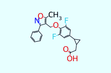 Cc1onc(-c2ccccc2)c1COc1c(F)cc(C2CC2CC(=O)O)cc1F